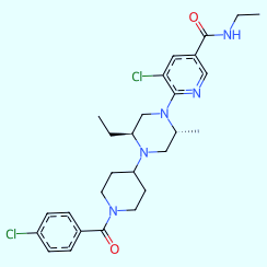 CCNC(=O)c1cnc(N2C[C@H](CC)N(C3CCN(C(=O)c4ccc(Cl)cc4)CC3)C[C@H]2C)c(Cl)c1